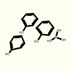 OP(O)O.Oc1ccccc1.Oc1ccccc1.Oc1ccccc1